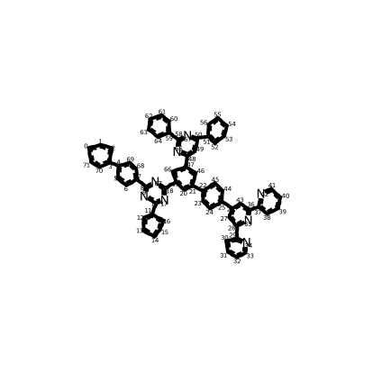 c1ccc(-c2ccc(-c3nc(-c4ccccc4)nc(-c4cc(-c5ccc(-c6cc(-c7ccccn7)nc(-c7ccccn7)c6)cc5)cc(-c5cc(-c6ccccc6)nc(-c6ccccc6)n5)c4)n3)cc2)cc1